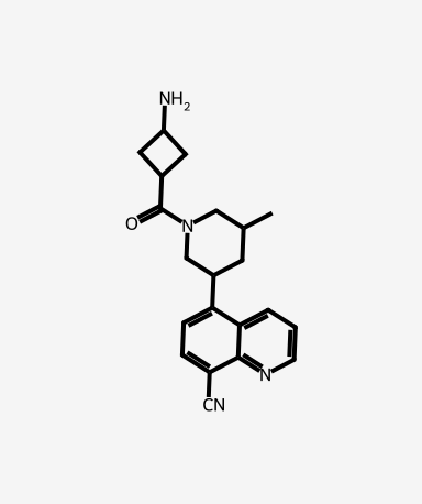 CC1CC(c2ccc(C#N)c3ncccc23)CN(C(=O)C2CC(N)C2)C1